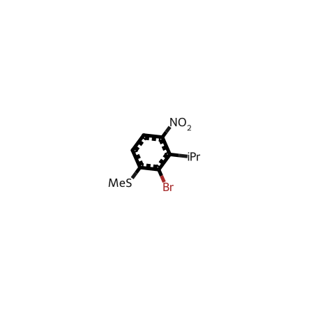 CSc1ccc([N+](=O)[O-])c(C(C)C)c1Br